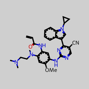 C=CC(=O)Nc1cc(Nc2ncc(C#N)c(-c3cn(C4CC4)c4ccccc34)n2)c(OC)cc1N(C)CCN(C)C